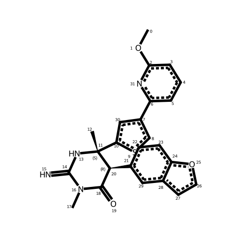 COc1cccc(-c2csc([C@@]3(C)NC(=N)N(C)C(=O)[C@@H]3c3ccc4occc4c3)c2)n1